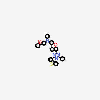 c1ccc(-c2nc(-c3ccc4c5c(cccc35)-c3cc(N(c5ccccc5)c5ccc6c(c5)oc5ccccc56)ccc3O4)nc(-c3cccc4sc5ccccc5c34)n2)cc1